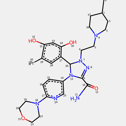 CC1CCN(CCN2N=C(C(N)=O)N(c3ccc(N4CCOCC4)nc3)C2c2cc(C(C)C)c(O)cc2O)CC1